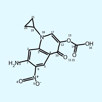 Nc1cc2c(cc1[N+](=O)[O-])c(=O)c(OC(=O)O)cn2C1CC1